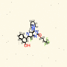 Oc1cc(-c2ncc3c(N4CC5CCC(C4)N5)nc(OCCCC(F)(F)F)nc3c2F)c2ccccc2c1